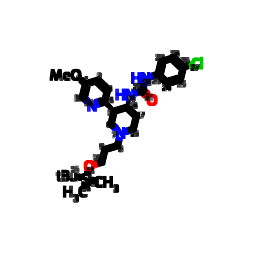 COc1ccc([C@@H]2CN(CCCO[Si](C)(C)C(C)(C)C)CC[C@H]2NC(=O)Nc2ccc(Cl)cc2)nc1